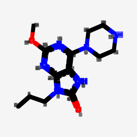 CCCn1c(=O)[nH]c2c(N3CCNCC3)nc(OC)nc21